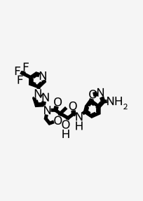 CC1(C(O)C(=O)Nc2ccc3c(N)noc3c2)OCCN(c2ccn(-c3cncc(C(F)(F)F)c3)n2)C1=O